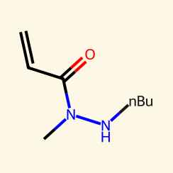 C=CC(=O)N(C)NCCCC